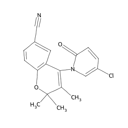 CC1=C(n2cc(Cl)ccc2=O)c2cc(C#N)ccc2OC1(C)C